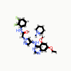 CCOc1cc(OC[C@H]2CCCCN2C)c2c(Nc3cnn(CC(=O)Nc4cccc(F)c4F)c3)ncnc2c1